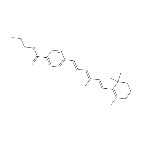 CCCOC(=O)c1ccc(/C=C/C=C(C)/C=C/C2=C(C)CCCC2(C)C)cc1